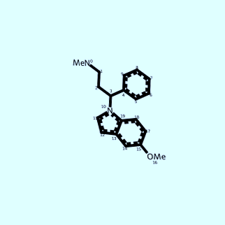 CNCCC(c1ccccc1)n1ccc2cc(OC)ccc21